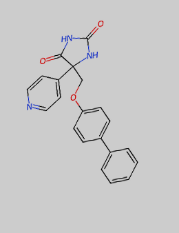 O=C1NC(=O)C(COc2ccc(-c3ccccc3)cc2)(c2ccncc2)N1